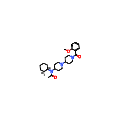 COc1ccccc1C(=O)N1CCC(N2CCC(N(C(C)=O)[C@@H]3CCCC[C@H]3C)CC2)CC1